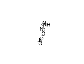 CC(=O)N1CC[C@@H](COc2ccc(-c3ccn[nH]3)nc2)C1